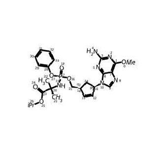 COc1nc(N)nc2c1ncn2[C@H]1C=C[C@@H](COP(=O)(NC(C)(C)C(=O)OC(C)C)Oc2ccccc2)C1